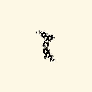 C=Cc1ccc(N2CCN(CC3=C(c4ccc(Cl)cc4)CC(C)(C)CC3)CC2)cc1C/C(C)=C/N=C